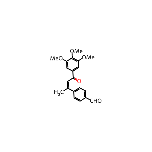 COc1cc(C(=O)C=C(C)c2ccc(C=O)cc2)cc(OC)c1OC